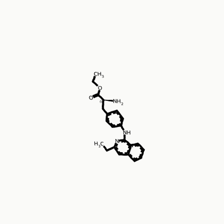 CCOC(=O)[C@@H](N)Cc1ccc(Nc2nc(CC)cc3ccccc23)cc1